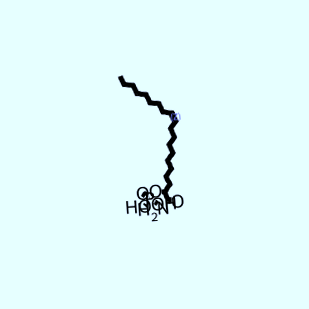 CCCCCCCC/C=C\CCCCCCCCC(OP(=O)(O)O)C(N)=O